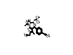 COC(=O)C[C@@H]1N=C(c2ccc(C#N)cc2)c2c(sc(CC#N)c2C)-n2c(C)nnc21